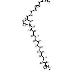 [CH2]C/C=C/CCCCC(CC)CCCCCCCCCCCCCCCCC[CH2]